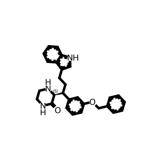 O=C1NCCN[C@H]1C(CCc1c[nH]c2ccccc12)c1cccc(OCc2ccccc2)c1